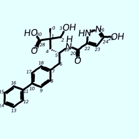 C[C@@](CO)(C[C@@H](Cc1ccc(-c2ccccc2)cc1)NC(=O)c1cc(O)n[nH]1)C(=O)O